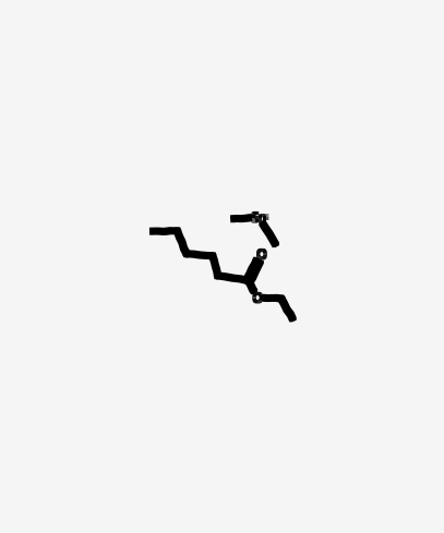 CCCCCC(=O)OCC.[CH3][Sn][CH3]